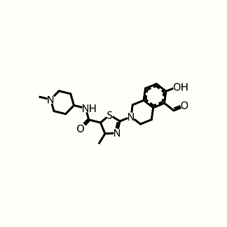 CC1N=C(N2CCc3c(ccc(O)c3C=O)C2)SC1C(=O)NC1CCN(C)CC1